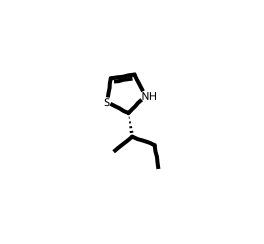 CCC(C)[C@H]1NC=CS1